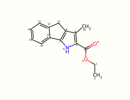 CCOC(=O)c1[nH]c2c(c1C)Cc1ccccc1-2